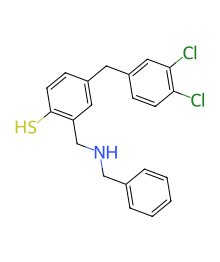 Sc1ccc(Cc2ccc(Cl)c(Cl)c2)cc1CNCc1ccccc1